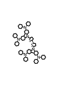 c1ccc(N(c2ccccc2)c2ccc3c(c2)c2cc(N(c4ccccc4)c4ccccc4)ccc2n3-c2ccc(-c3ccc(-n4c5ccc(N(c6ccccc6)c6ccccc6)cc5c5cc(N(c6ccccc6)c6ccccc6)ccc54)s3)s2)cc1